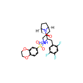 N[C@H](Cc1cc(F)c(F)cc1F)[C@@H]1C[C@H]2CC[C@@H](C1)N2C(=O)CNS(=O)(=O)c1ccc2c(c1)OCCO2